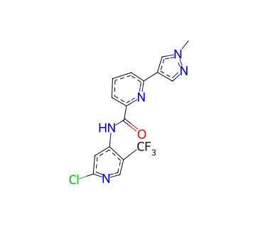 Cn1cc(-c2cccc(C(=O)Nc3cc(Cl)ncc3C(F)(F)F)n2)cn1